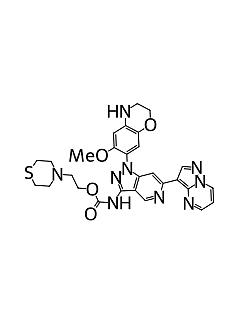 COc1cc2c(cc1-n1nc(NC(=O)OCCN3CCSCC3)c3cnc(-c4cnn5cccnc45)cc31)OCCN2